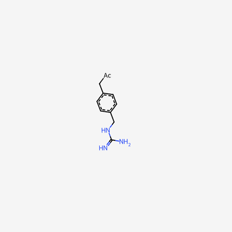 CC(=O)Cc1ccc(CNC(=N)N)cc1